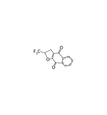 O=C1C2=C(OC(C(F)(F)F)C2)C(=O)c2ccccc21